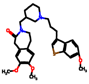 COc1ccc2c(CCCN3CCCC(CN4CCc5cc(OC)c(OC)cc5CC4=O)C3)csc2c1